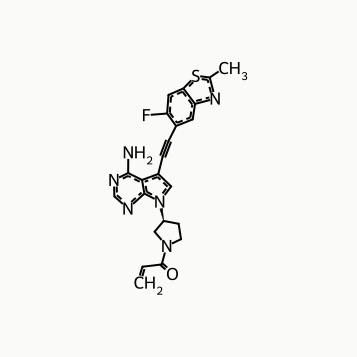 C=CC(=O)N1CC[C@H](n2cc(C#Cc3cc4nc(C)sc4cc3F)c3c(N)ncnc32)C1